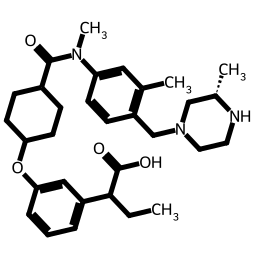 CCC(C(=O)O)c1cccc(OC2CCC(C(=O)N(C)c3ccc(CN4CCN[C@@H](C)C4)c(C)c3)CC2)c1